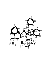 CCNCC.COc1ccc(C2=NN(c3ccccc3)C(=O)C2(NC(C)=O)Nc2ccccc2)c2ccccc12